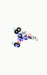 C=CC(=O)N1CCN(c2nc(OC[C@@]34CCCN3C[C@H](F)C4)nc3c2CCN(c2ccc(F)c4c2CCCC4)C3)C[C@@H]1CC#N